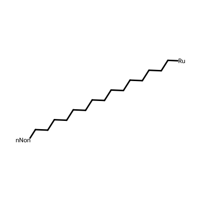 CCCCCCCCCCCCCCCCCCCCCCC[CH2][Ru]